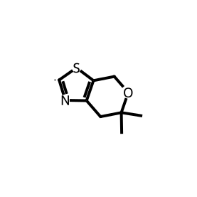 CC1(C)Cc2n[c]sc2CO1